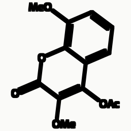 COc1c(OC(C)=O)c2cccc(OC)c2oc1=O